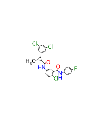 C[C@@H]1C(C(=O)Nc2ccc(Cl)c(C(=O)Nc3ccc(F)cc3)c2)[C@H]1c1cc(Cl)cc(Cl)c1